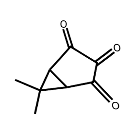 CC1(C)C2C(=O)C(=O)C(=O)C21